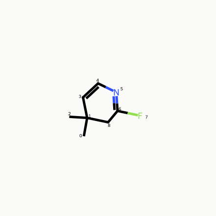 CC1(C)C=CN=C(F)C1